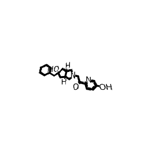 O=C(CN1C[C@@H]2C[C@@](O)(CC3CCCCC3)C[C@@H]2C1)c1ccc(O)cn1